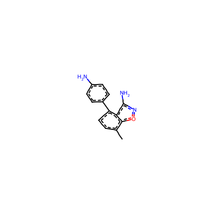 Cc1ccc(-c2ccc(N)cc2)c2c(N)noc12